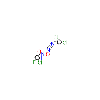 O=C(NCC(=O)N1CC2CN(Cc3ccc(Cl)cc3Cl)CC2C1)c1ccc(F)c(Cl)c1